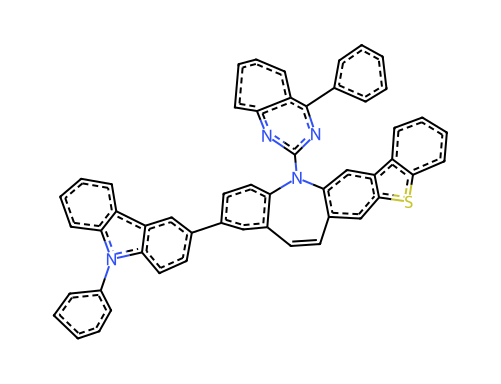 C1=Cc2cc3sc4ccccc4c3cc2N(c2nc(-c3ccccc3)c3ccccc3n2)c2ccc(-c3ccc4c(c3)c3ccccc3n4-c3ccccc3)cc21